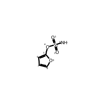 [NH]S(=O)(=O)Oc1ccco1